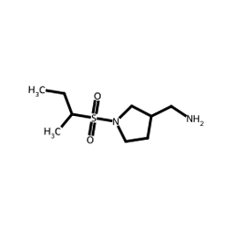 CCC(C)S(=O)(=O)N1CCC(CN)C1